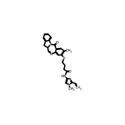 C=Cc1nc(NC(=O)CCCOc2cc3c(cc2C)C(=O)N2c4ccccc4CC2C=N3)cn1C